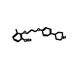 COc1cccc(C)c1OCCCOc1ccc(C2CCNCC2)cc1